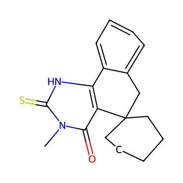 Cn1c(=S)[nH]c2c(c1=O)C1(CCCCC1)Cc1ccccc1-2